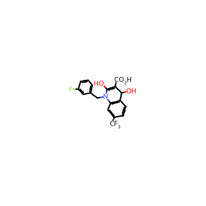 O=C(O)C1=C(O)N(Cc2cccc(F)c2)c2cc(C(F)(F)F)ccc2C1O